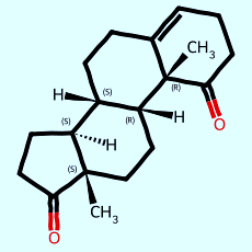 C[C@]12C(=O)CCC=C1CC[C@@H]1[C@H]2CC[C@]2(C)C(=O)CC[C@@H]12